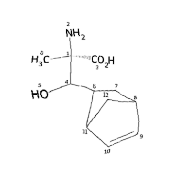 C[C@](N)(C(=O)O)C(O)C1CC2C=CC1C2